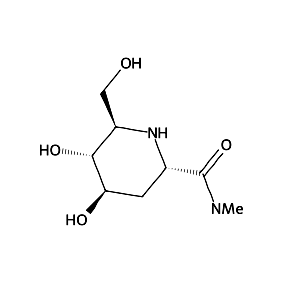 CNC(=O)[C@@H]1C[C@@H](O)[C@H](O)[C@@H](CO)N1